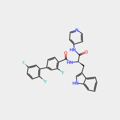 O=C(N[C@H](Cc1c[nH]c2ccccc12)C(=O)Nc1ccncc1)c1ccc(-c2cc(F)ccc2F)cc1F